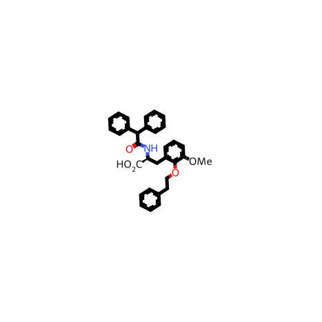 COc1cccc(C[C@H](NC(=O)C(c2ccccc2)c2ccccc2)C(=O)O)c1OCCc1ccccc1